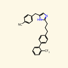 N#Cc1ccc(Cc2cnc(CCCc3ccc(-c4ccccc4C(F)(F)F)cc3)[nH]2)cc1